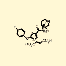 O=C(N[C@H]1CN2CCC1CC2)c1cnc(Sc2ccc(F)cc2)s1.O=C(O)C=CC(=O)O